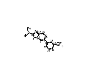 FC(F)c1cn2cc(-c3cccc(C(F)(F)F)c3)ncc2n1